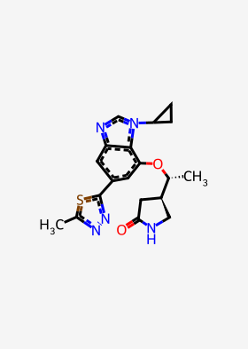 Cc1nnc(-c2cc(O[C@H](C)[C@H]3CNC(=O)C3)c3c(c2)ncn3C2CC2)s1